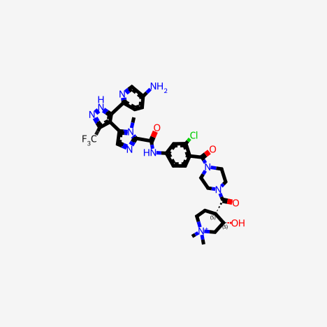 Cn1c(-c2c(C(F)(F)F)n[nH]c2-c2ccc(N)cn2)cnc1C(=O)Nc1ccc(C(=O)N2CCN(C(=O)[C@H]3CC[N+](C)(C)C[C@H]3O)CC2)c(Cl)c1